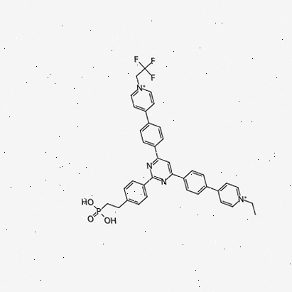 CC[n+]1ccc(-c2ccc(-c3cc(-c4ccc(-c5cc[n+](CC(F)(F)F)cc5)cc4)nc(-c4ccc(CCP(=O)(O)O)cc4)n3)cc2)cc1